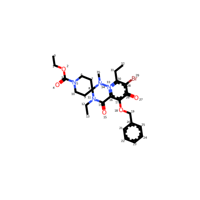 CCOC(=O)N1CCC2(CC1)N(CC)C(=O)c1c(OCc3ccccc3)c(=O)c(Br)c(CC)n1N2C